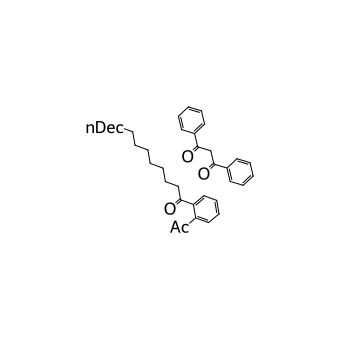 CCCCCCCCCCCCCCCCCC(=O)c1ccccc1C(C)=O.O=C(CC(=O)c1ccccc1)c1ccccc1